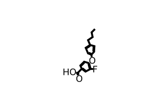 CCCCc1ccc(Oc2ccc(C(=O)O)cc2F)cc1